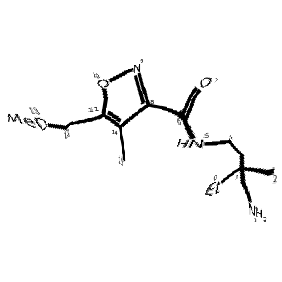 CCC(C)(N)CNC(=O)c1noc(COC)c1C